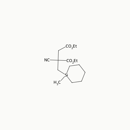 CCOC(=O)CC(C#N)(C[Si]1(C)CCCCC1)C(=O)OCC